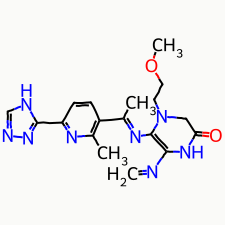 C=NC1=C(/N=C(\C)c2ccc(-c3nnc[nH]3)nc2C)N(CCOC)CC(=O)N1